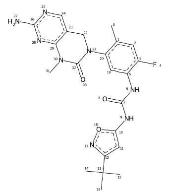 Cc1cc(F)c(NC(=O)Nc2cc(C(C)(C)C)no2)cc1N1Cc2cnc(N)nc2N(C)C1=O